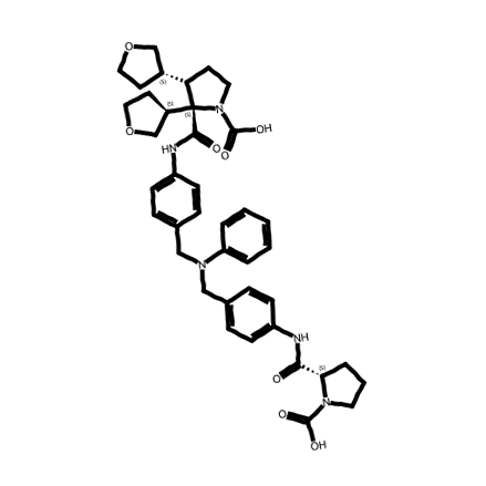 O=C(Nc1ccc(CN(Cc2ccc(NC(=O)[C@@]3([C@@H]4CCOC4)C([C@@H]4CCOC4)CCN3C(=O)O)cc2)c2ccccc2)cc1)[C@@H]1CCCN1C(=O)O